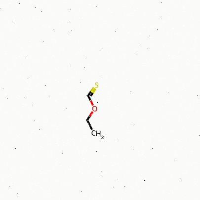 CCO[C]=S